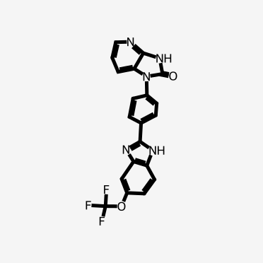 O=c1[nH]c2ncccc2n1-c1ccc(-c2nc3cc(OC(F)(F)F)ccc3[nH]2)cc1